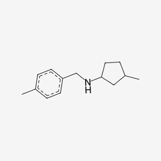 Cc1ccc(CNC2CCC(C)C2)cc1